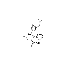 CCCC1C(=O)Nc2ccccc2N1C(=O)c1cnn(CC2CC2)c1